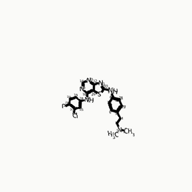 CN(C)CCc1ccc(Nc2nc3ncnc(Nc4ccc(F)c(Cl)c4)c3s2)cc1